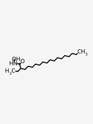 CCCCCCCCCCCCCCCCC(CC)C(=O)NO